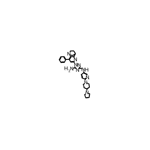 Nc1nc(Nc2ccc(N3CCC(N4CCCC4)CC3)nc2)nn1-c1cc(-c2ccccc2)c2c(n1)C1CCN2CC1